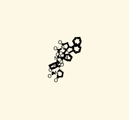 O=C([O-])N1C(=O)CC[C@H]1C(=O)[N+]1(c2nnc([N+]3(C(=O)[C@]4(Cc5ccccc5)C(Cc5ccccc5)CC(=O)N4C(=O)[O-])C4=CC=C3C=C4)o2)C2=CC=C1C=C2